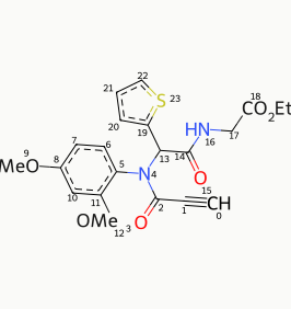 C#CC(=O)N(c1ccc(OC)cc1OC)C(C(=O)NCC(=O)OCC)c1cccs1